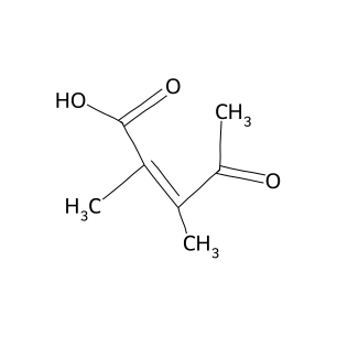 CC(=O)C(C)=C(C)C(=O)O